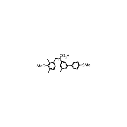 COc1c(C)cnc(CN(C(=O)O)c2cc(C)cc(-c3ccc(SC)cc3)c2)c1C